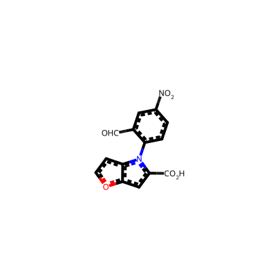 O=Cc1cc([N+](=O)[O-])ccc1-n1c(C(=O)O)cc2occc21